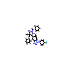 Cc1cc2c(cnn2-c2ccc(F)cc2)cc1[C@]12CN(Cc3ccccc3)C[C@H]1[C@H]2c1ccccc1